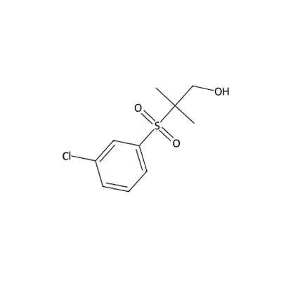 CC(C)(CO)S(=O)(=O)c1cccc(Cl)c1